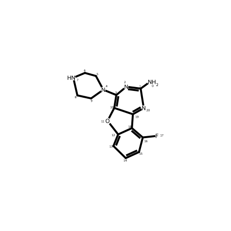 Nc1nc(N2CCNCC2)c2oc3cccc(F)c3c2n1